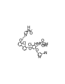 CC(=O)N[C@@H]1CCN(CCCOc2cccc(-c3cccc(COc4cc(OCc5cncc(C#N)c5)c(CN[C@](C)(CO)C(=O)O)cc4Cl)c3C)c2Cl)C1